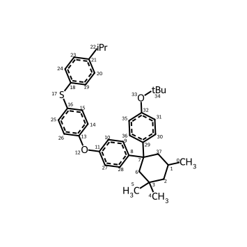 CC1CC(C)(C)CC(c2ccc(Oc3ccc(Sc4ccc(C(C)C)cc4)cc3)cc2)(c2ccc(OC(C)(C)C)cc2)C1